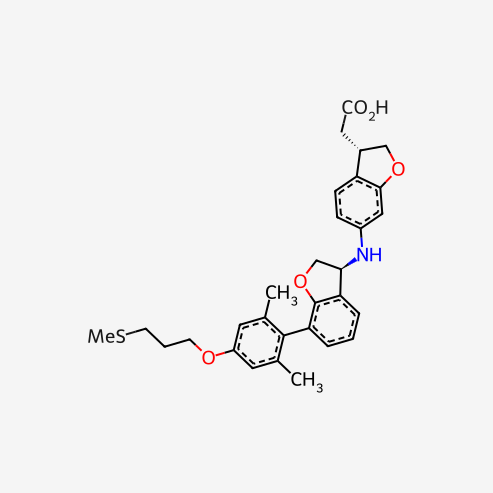 CSCCCOc1cc(C)c(-c2cccc3c2OC[C@H]3Nc2ccc3c(c2)OC[C@H]3CC(=O)O)c(C)c1